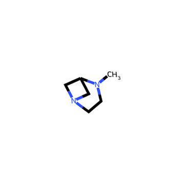 CN1CCN2CC1C2